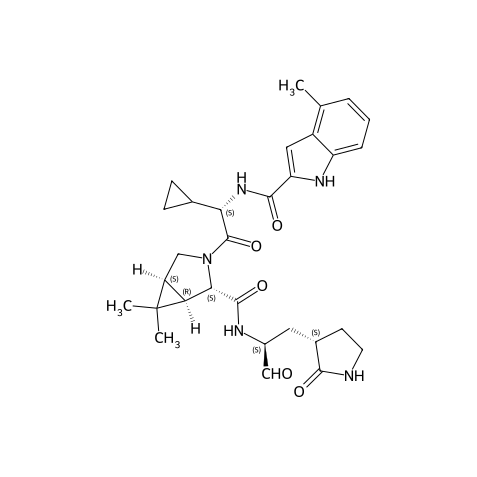 Cc1cccc2[nH]c(C(=O)N[C@H](C(=O)N3C[C@H]4[C@@H]([C@H]3C(=O)N[C@H](C=O)C[C@@H]3CCNC3=O)C4(C)C)C3CC3)cc12